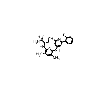 CC[C@@H](Nc1nc(Nc2ccnc(-c3ccccc3F)c2)c(C)cc1C)[C@H](C)N